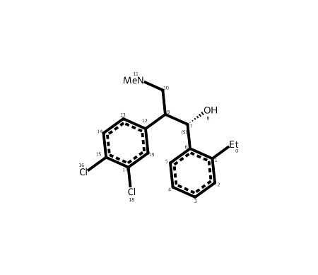 CCc1ccccc1[C@@H](O)C(CNC)c1ccc(Cl)c(Cl)c1